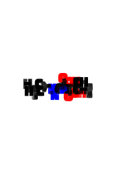 CCC(CC)Cn1cncc1C[C@H](NC(CC(C)C)C(=O)O)C(=O)O